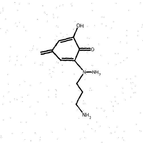 C=C1C=C(O)C(=O)C(N(N)CCCN)=C1